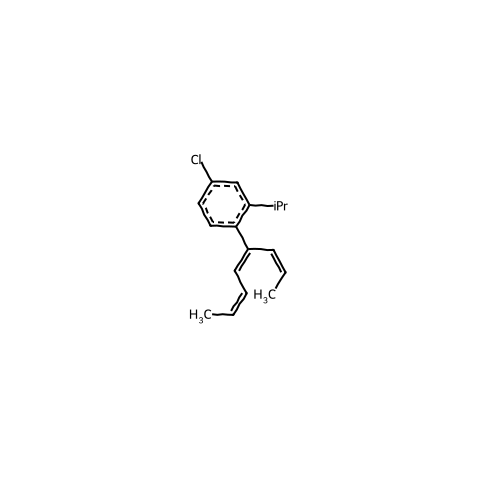 C\C=C/C=C(\C=C/C)c1ccc(Cl)cc1C(C)C